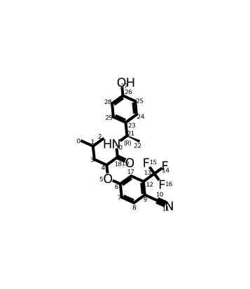 CC(C)CC(Oc1ccc(C#N)c(C(F)(F)F)c1)C(=O)N[C@H](C)c1ccc(O)cc1